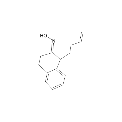 C=CCCC1C(=NO)CCc2ccccc21